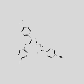 COc1ccc(-c2nc(NC(=O)c3ccc(C#N)cc3)sc2Cc2ccc(F)cc2)cc1